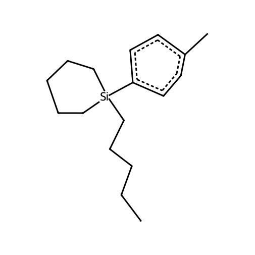 CCCCC[Si]1(c2ccc(C)cc2)CCCCC1